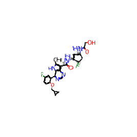 Cc1[nH]c2c(-c3cc(F)ccc3OCC3CC3)ncnc2c1C(=O)N[C@@H]1C[C@@H](NC(=O)CO)C[C@H]1F